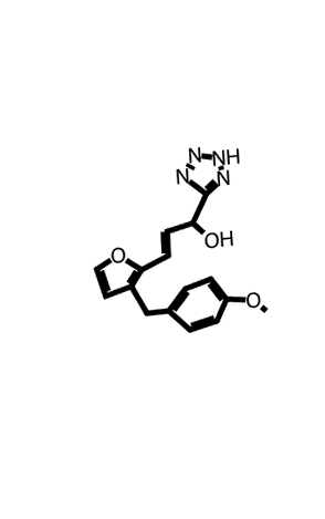 COc1ccc(Cc2ccoc2C=CC(O)c2nn[nH]n2)cc1